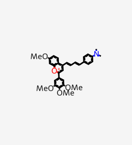 COc1ccc2c(C=CC=Cc3ccc(N(C)C)cc3)cc(-c3cc(OC)c(OC)c(OC)c3)[o+]c2c1